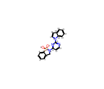 O=S1(=O)c2ccccc2CN1c1ccnc(-n2ccc3ccccc32)n1